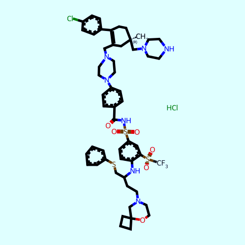 C[C@@]1(CN2CCNCC2)CCC(c2ccc(Cl)cc2)=C(CN2CCN(c3ccc(C(=O)NS(=O)(=O)c4ccc(NC(CCN5CCOC6(CCC6)C5)CSc5ccccc5)c(S(=O)(=O)C(F)(F)F)c4)cc3)CC2)C1.Cl